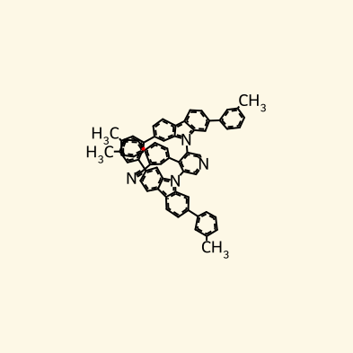 Cc1cccc(-c2ccc3c4ccc(-c5cccc(C)c5)cc4n(-c4cncc(-n5c6cc(-c7cccc(C)c7)ccc6c6ccc(-c7cccc(C)c7)cc65)c4-c4cccc(C#N)c4)c3c2)c1